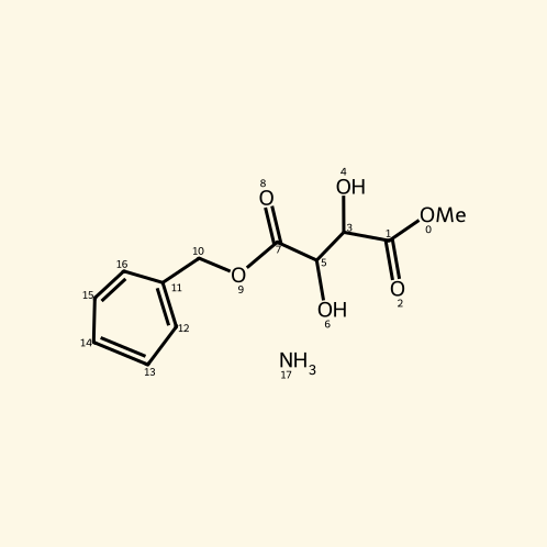 COC(=O)C(O)C(O)C(=O)OCc1ccccc1.N